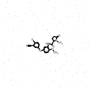 COc1ccc(Oc2ccc(F)c(C#N)c2)cc1NC(=O)C1CCC(=O)N1C